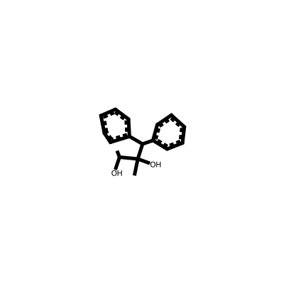 CC(O)C(C)(O)C(c1ccccc1)c1ccccc1